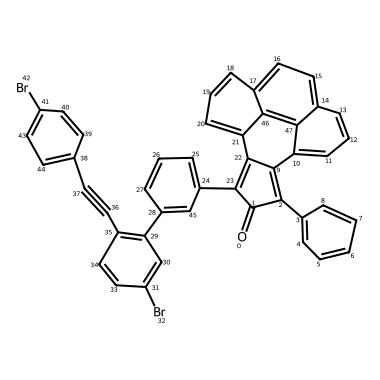 O=c1c(-c2ccccc2)c2c3cccc4ccc5cccc(c2c1-c1cccc(-c2cc(Br)ccc2C#Cc2ccc(Br)cc2)c1)c5c43